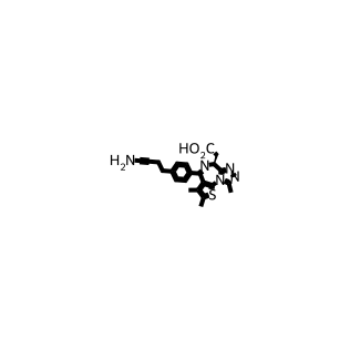 Cc1sc2c(c1C)C(c1ccc(CCC#CN)cc1)=N[C@@H](CC(=O)O)c1nnc(C)n1-2